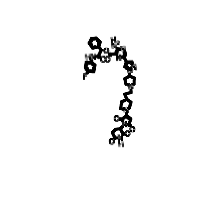 Nc1ncc(-c2cnn(C3CCN(CCC4CCN(C5=CC(=O)N(C6CCC(=O)NC6=O)C5=O)CC4)CC3)c2)nc1C(=O)O[C@@H](C(=O)Nc1ccc(F)cc1)c1ccccc1